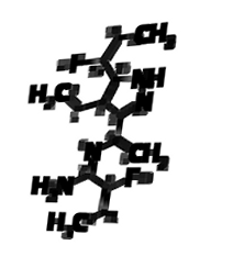 C=Cc1c(C(=C)/N=C(N)\C(F)=C/C)n[nH]c1/C(F)=C\C